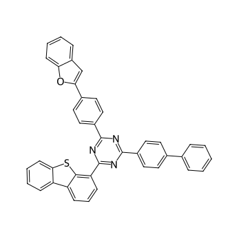 c1ccc(-c2ccc(-c3nc(-c4ccc(-c5cc6ccccc6o5)cc4)nc(-c4cccc5c4sc4ccccc45)n3)cc2)cc1